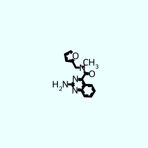 CN(Cc1ccco1)C(=O)c1nc(N)nc2ccccc12